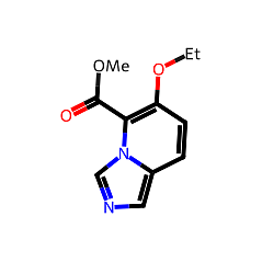 CCOc1ccc2cncn2c1C(=O)OC